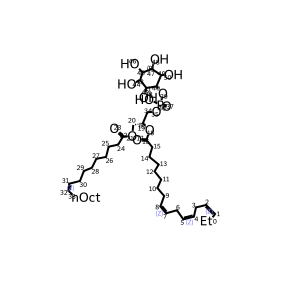 CC/C=C\C/C=C\C/C=C\CCCCCCCC(=O)O[C@H](COC(=O)CCCCCCC/C=C\CCCCCCCC)COP(=O)(O)OC1C(O)C(O)C(O)[C@@H](O)C1O